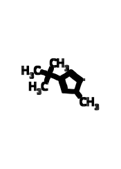 CC1[C]=CC(C(C)(C)C)=C1